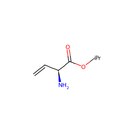 C=C[C@H](N)C(=O)OC(C)C